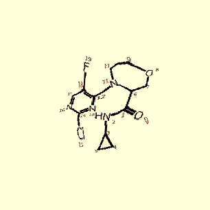 O=C(NC1CC1)C1COCCN1c1nc(Cl)ncc1F